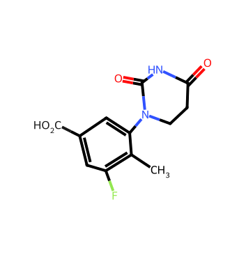 Cc1c(F)cc(C(=O)O)cc1N1CCC(=O)NC1=O